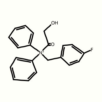 O=C(CO)[N+](Cc1ccc(F)cc1)(c1ccccc1)c1ccccc1